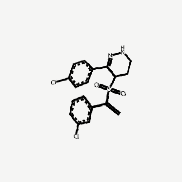 C=C(c1cccc(Cl)c1)S(=O)(=O)C1CCNN=C1c1ccc(Cl)cc1